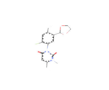 Cn1c(C(F)(F)F)cc(=O)n(-c2cc(C3OCCO3)c(C#N)cc2F)c1=O